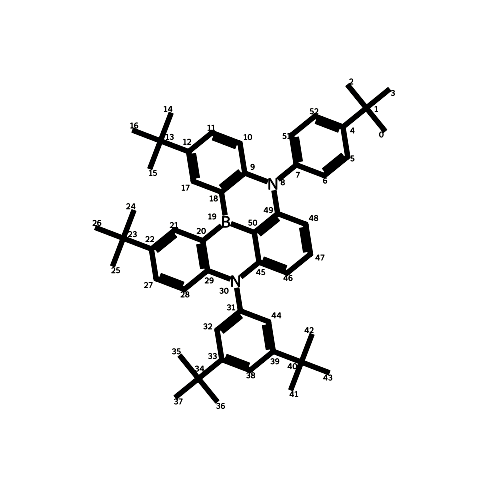 CC(C)(C)c1ccc(N2c3ccc(C(C)(C)C)cc3B3c4cc(C(C)(C)C)ccc4N(c4cc(C(C)(C)C)cc(C(C)(C)C)c4)c4cccc2c43)cc1